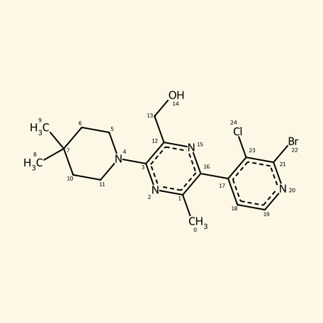 Cc1nc(N2CCC(C)(C)CC2)c(CO)nc1-c1ccnc(Br)c1Cl